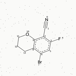 N#Cc1c(F)cc(Br)c2c1OCCC2